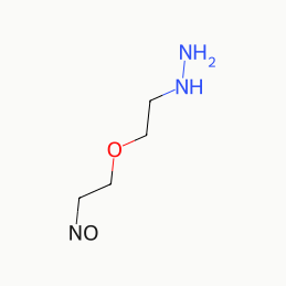 NNCCOCCN=O